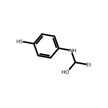 CCC(O)Nc1ccc(S)cc1